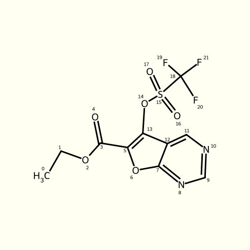 CCOC(=O)c1oc2ncncc2c1OS(=O)(=O)C(F)(F)F